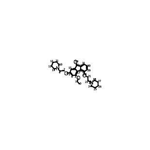 CCOc1cc(OCCN2CCCCC2)cc2c1-c1c(OCCN3CCCCC3)cccc1C2=O